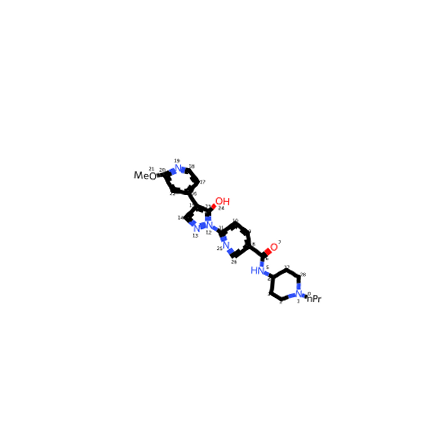 CCCN1CCC(NC(=O)c2ccc(-n3ncc(-c4ccnc(OC)c4)c3O)nc2)CC1